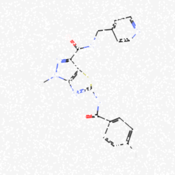 CCc1ccc(C(=O)Nc2nc3c(s2)c(C(=O)NCc2ccncc2)nn3C(C)(C)C)cc1